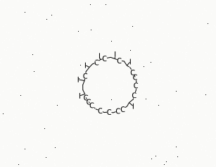 IC1CCCCCCCCCCCC(I)CCC(I)CCC(I)CCC(I)CCC(I)CCC(I)CCCCCCCC1